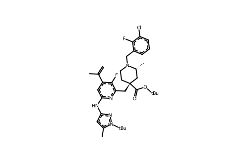 C=C(C)c1cc(Nc2cc(C)n(C(C)(C)C)n2)nc(C[C@@]2(C(=O)OC(C)(C)C)CCN(Cc3cccc(Cl)c3F)[C@H](C)C2)c1F